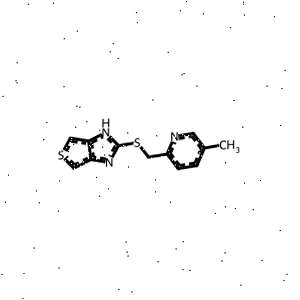 Cc1ccc(CSc2nc3cscc3[nH]2)nc1